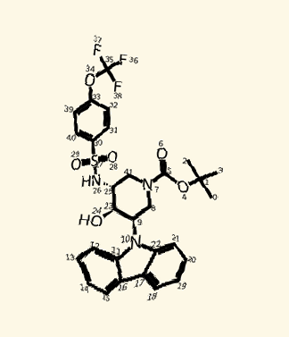 CC(C)(C)OC(=O)N1C[C@@H](n2c3ccccc3c3ccccc32)[C@@H](O)[C@H](NS(=O)(=O)c2ccc(OC(F)(F)F)cc2)C1